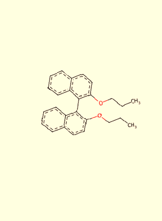 CCCOc1ccc2ccccc2c1-c1c(OCCC)ccc2ccccc12